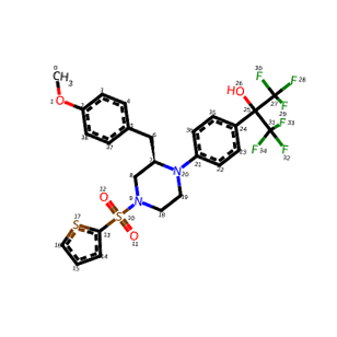 COc1ccc(C[C@@H]2CN(S(=O)(=O)c3cccs3)CCN2c2ccc(C(O)(C(F)(F)F)C(F)(F)F)cc2)cc1